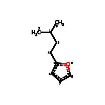 CC(C)C[CH]c1ccco1